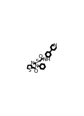 O=C(CSc1nc2c(c(=O)n1-c1ccccc1)SCC2)Nc1ccc(-c2ccncc2)cc1